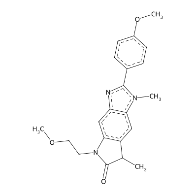 COCCN1C(=O)C(C)c2cc3c(cc21)nc(-c1ccc(OC)cc1)n3C